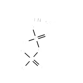 O=P([O-])([O-])OP(=O)([O-])[O-].[Ce+3].[NH4+]